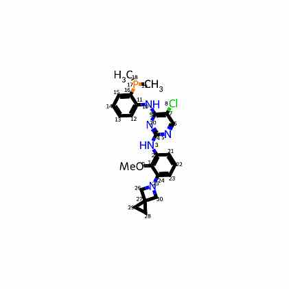 COc1c(Nc2ncc(Cl)c(Nc3ccccc3P(C)C)n2)cccc1N1CC2(CC2)C1